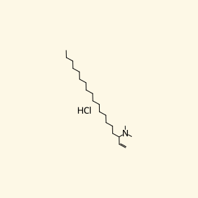 C=CC(CCCCCCCCCCCCCCCC)N(C)C.Cl